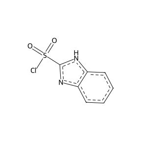 O=S(=O)(Cl)c1nc2ccccc2[nH]1